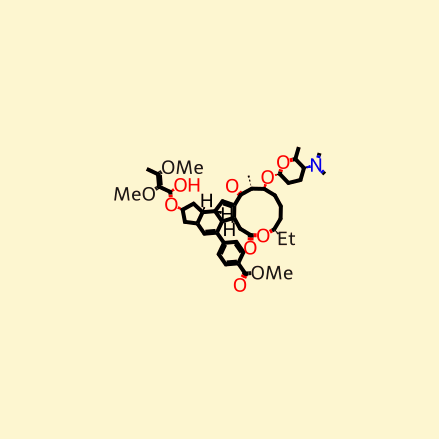 CC[C@H]1CCC[C@H](O[C@H]2CC[C@H](N(C)C)C(C)O2)[C@@H](C)C(=O)C2=C[C@@H]3C(C(c4ccc(C(=O)OC)cc4)=CC4C[C@@H](O[C@H](O)/C(OC)=C(/C)OC)C[C@H]43)[C@@H]2CC(=O)O1